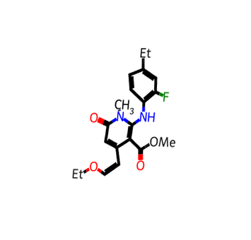 CCO/C=C\c1cc(=O)n(C)c(Nc2ccc(CC)cc2F)c1C(=O)OC